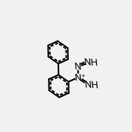 N=N[N+](=N)c1ccccc1-c1ccccc1